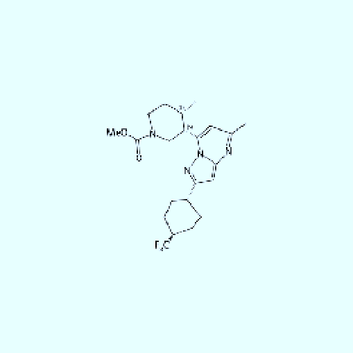 COC(=O)N1CC[C@H](C)[C@H](c2cc(C)nc3cc([C@H]4CC[C@H](C(F)(F)F)CC4)nn23)C1